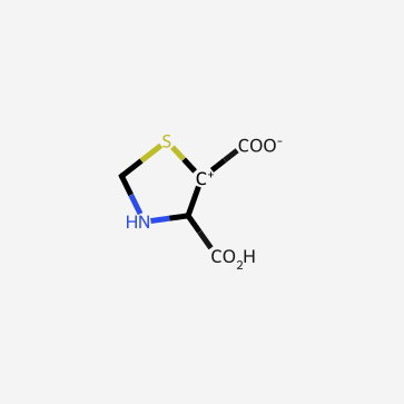 O=C([O-])[C+]1SCNC1C(=O)O